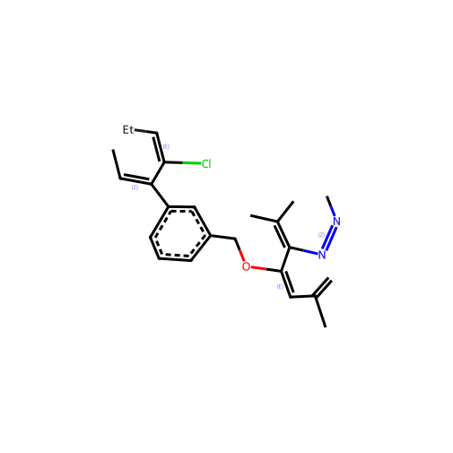 C=C(C)/C=C(/OCc1cccc(C(=C/C)/C(Cl)=C\CC)c1)C(/N=N\C)=C(C)C